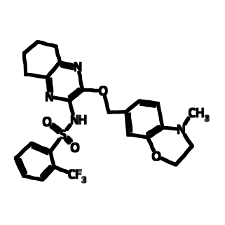 CN1CCOc2cc(COc3nc4c(nc3NS(=O)(=O)c3ccccc3C(F)(F)F)CCCC4)ccc21